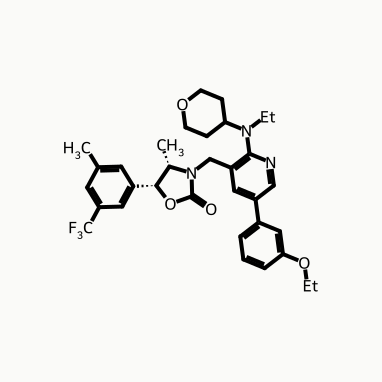 CCOc1cccc(-c2cnc(N(CC)C3CCOCC3)c(CN3C(=O)O[C@H](c4cc(C)cc(C(F)(F)F)c4)[C@@H]3C)c2)c1